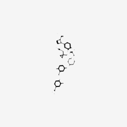 N#CCC1(Cn2c(CN3CCC(Oc4ccc(F)c(COc5ccc(C#N)cc5F)c4)CC3)nc3ccc(C4C#CC4C(=O)O)cc32)CC1